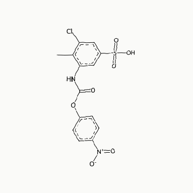 Cc1c(Cl)cc(S(=O)(=O)O)cc1NC(=O)Oc1ccc([N+](=O)[O-])cc1